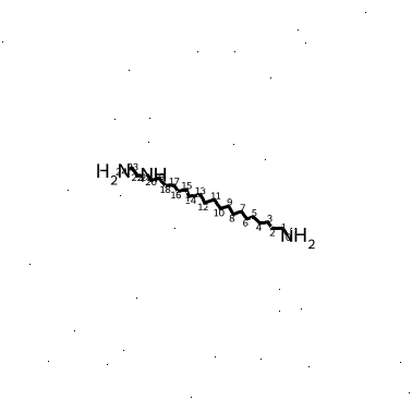 NCCCCCCCCCCCCCCCCCCCCNCCN